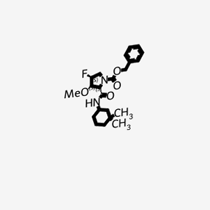 CO[C@H]1[C@@H](C(=O)NC2CCCC(C)(C)C2)N(C(=O)OCc2ccccc2)C[C@@H]1F